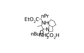 CCCCN.CCC[C@H](NC(C)C(=O)N1C(C(=O)O)CC2CCCCC21)C(=O)OCC